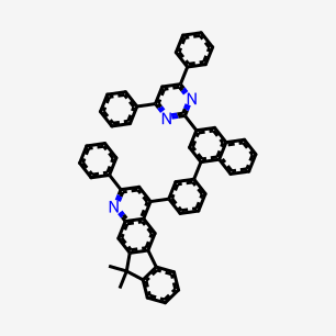 CC1(C)c2ccccc2-c2cc3c(-c4cccc(-c5cc(-c6nc(-c7ccccc7)cc(-c7ccccc7)n6)cc6ccccc56)c4)cc(-c4ccccc4)nc3cc21